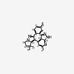 Cc1cc(-c2c(-c3ccc(F)cc3)nn3c2C(C)(C)CC3)c2cn[nH]c2n1